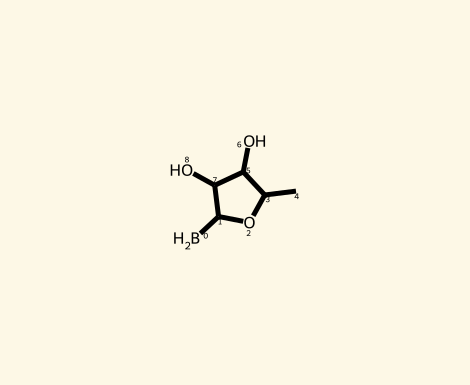 BC1OC(C)C(O)C1O